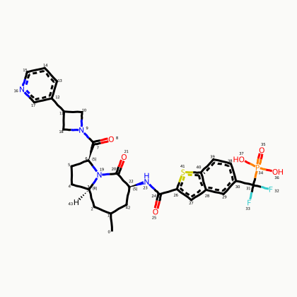 CC1C[C@H]2CC[C@@H](C(=O)N3CC(c4cccnc4)C3)N2C(=O)[C@@H](NC(=O)c2cc3cc(C(F)(F)P(=O)(O)O)ccc3s2)C1